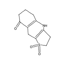 O=C1CCCC2=C1CC1=C(CCS1(=O)=O)N2